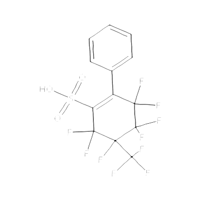 O=S(=O)(O)C1=C(c2ccccc2)C(F)(F)C(F)(F)C(F)(C(F)(F)F)C1(F)F